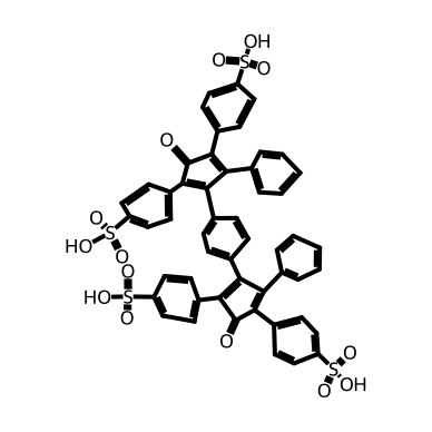 O=C1C(c2ccc(S(=O)(=O)O)cc2)=C(c2ccccc2)C(c2ccc(C3=C(c4ccc(S(=O)(=O)O)cc4)C(=O)C(c4ccc(S(=O)(=O)O)cc4)=C3c3ccccc3)cc2)=C1c1ccc(S(=O)(=O)O)cc1